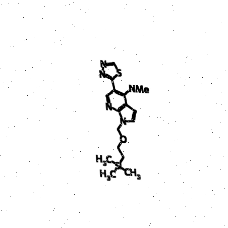 CNc1c(-c2nncs2)cnc2c1ccn2COCC[Si](C)(C)C